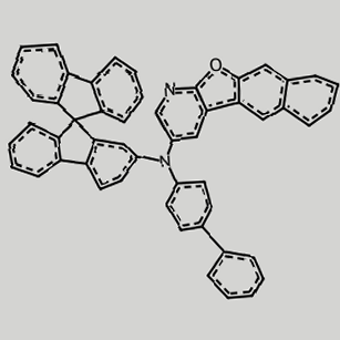 c1ccc(-c2ccc(N(c3ccc4c(c3)C3(c5ccccc5-c5ccccc53)c3ccccc3-4)c3cnc4oc5cc6ccccc6cc5c4c3)cc2)cc1